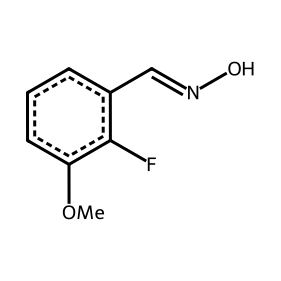 COc1cccc(C=NO)c1F